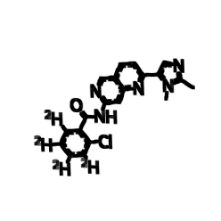 [2H]c1c([2H])c([2H])c(C(=O)Nc2cc3nc(-c4cnc(C)n4C)ccc3cn2)c(Cl)c1[2H]